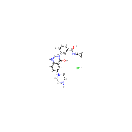 Cc1ccc(C(=O)NC2CC2)cc1-n1cnc2ccc(N3CCN(C)CC3)cc2c1=O.Cl